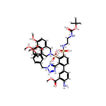 COC(=O)c1cc(-c2ccc(S(=O)(=O)NCCNC(=O)OC(C)(C)C)c(S(=O)(=O)N(Cc3ccc(OC)cc3)Cc3ccc(OC)cc3)c2-c2nnn(Cc3ccc(OC)cc3)n2)ccc1N